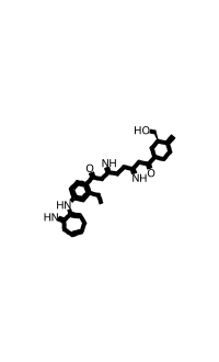 C=C1CCC(C(=O)CC(=N)CCC(=N)CC(=O)c2ccc(NC3=CCC=CCC3=N)cc2CC)C[C@H]1CO